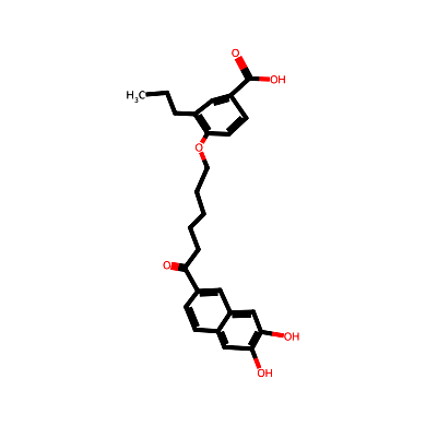 CCCc1cc(C(=O)O)ccc1OCCCCCC(=O)c1ccc2cc(O)c(O)cc2c1